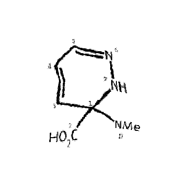 CNC1(C(=O)O)C=CC=NN1